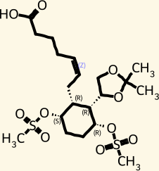 CC1(C)OCC([C@H]2[C@@H](C/C=C\CCCC(=O)O)[C@@H](OS(C)(=O)=O)CC[C@H]2OS(C)(=O)=O)O1